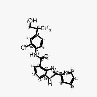 CC(CO)c1ccc(NC(=O)c2cccc3[nH]c(-c4ccccn4)nc23)c(Cl)c1